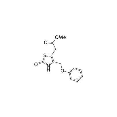 COC(=O)Cc1sc(=O)[nH]c1COc1ccccc1